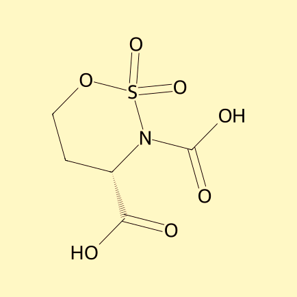 O=C(O)[C@@H]1CCOS(=O)(=O)N1C(=O)O